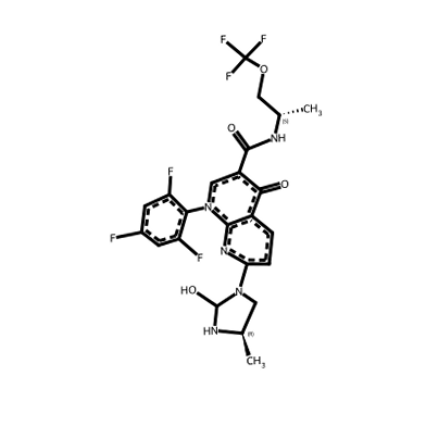 C[C@@H]1CN(c2ccc3c(=O)c(C(=O)N[C@@H](C)COC(F)(F)F)cn(-c4c(F)cc(F)cc4F)c3n2)C(O)N1